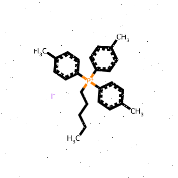 CCCCC[P+](c1ccc(C)cc1)(c1ccc(C)cc1)c1ccc(C)cc1.[I-]